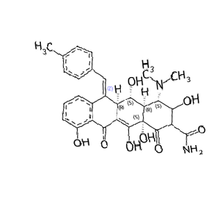 Cc1ccc(/C=C2\c3cccc(O)c3C(=O)C3=C(O)[C@]4(O)C(=O)C(C(N)=O)C(O)[C@@H](N(C)C)[C@@H]4[C@@H](O)[C@@H]32)cc1